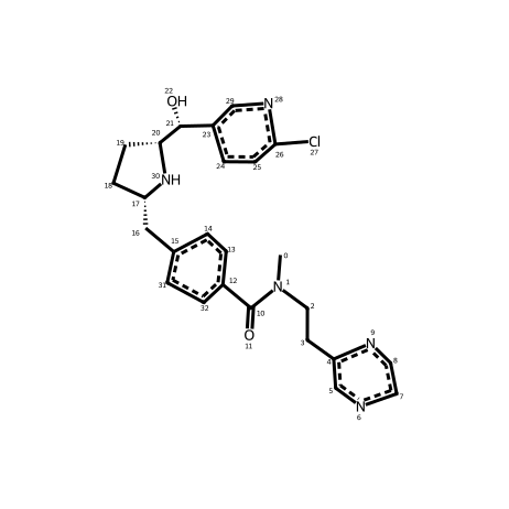 CN(CCc1cnccn1)C(=O)c1ccc(C[C@@H]2CC[C@H]([C@H](O)c3ccc(Cl)nc3)N2)cc1